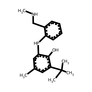 CNCc1ccccc1Pc1cc(C)cc(C(C)(C)C)c1O